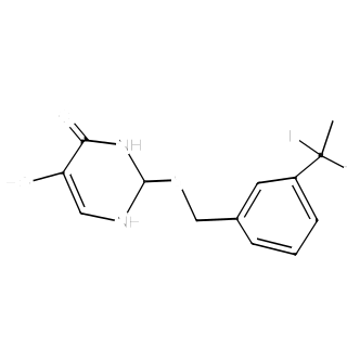 O=C1NC(SCc2cccc(C(F)(F)F)c2)NC=C1O